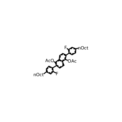 CCCCCCCCc1ccc(-c2ccc3c(OC(C)=O)c(-c4ccc(CCCCCCCC)cc4F)ccc3c2OC(C)=O)c(F)c1